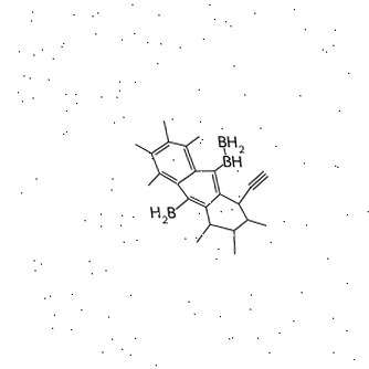 BBc1c2c(c(B)c3c(C)c(C)c(C)c(C)c13)C(C)C(C)C(C)C2C#C